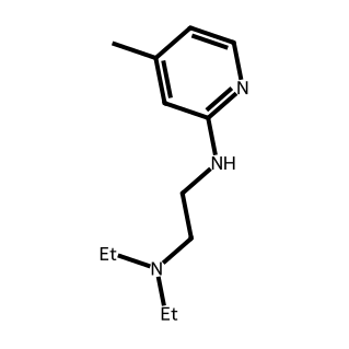 CCN(CC)CCNc1cc(C)ccn1